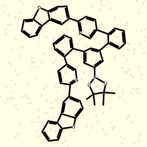 CC1(C)OB(c2cc(-c3ccccc3-c3ccc(-c4ccc5oc6ccccc6c5c4)nc3)cc(-c3ccccc3-c3ccc(-c4ccc5oc6ccccc6c5c4)nc3)c2)OC1(C)C